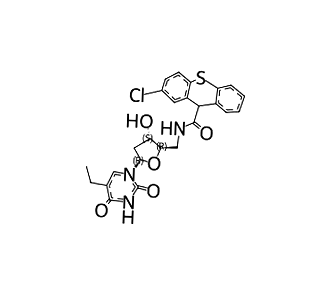 CCc1cn([C@H]2C[C@H](O)[C@@H](CNC(=O)C3c4ccccc4Sc4ccc(Cl)cc43)O2)c(=O)[nH]c1=O